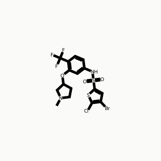 CN1CCC(Oc2cc(NS(=O)(=O)c3cc(Br)c(Cl)s3)ccc2C(F)(F)F)C1